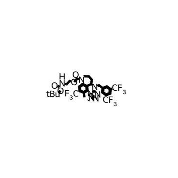 Cc1cc2c(cc1C(F)(F)F)N(C(=O)OCCNC(=O)OC(C)(C)C)CCCC2N(Cc1cc(C(F)(F)F)cc(C(F)(F)F)c1)c1nnn(C)n1